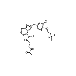 CC(=O)NCCNC(=O)c1nccc2nn(Cc3cnc(OCCC(F)(F)F)c(Cl)c3)cc12